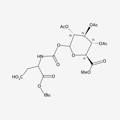 COC(=O)[C@H]1OC(OC(=O)NC(CC(=O)O)C(=O)OC(C)(C)C)[C@H](OC(C)=O)[C@@H](OC(C)=O)[C@@H]1OC(C)=O